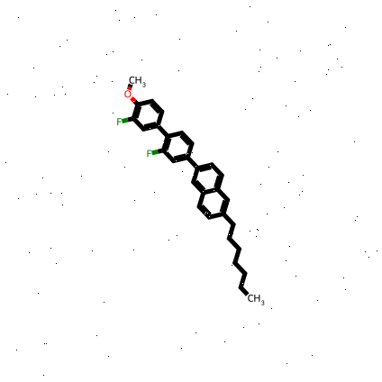 CCCCCCCc1ccc2cc(-c3ccc(-c4ccc(OC)c(F)c4)c(F)c3)ccc2c1